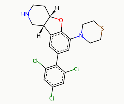 Clc1cc(Cl)c(-c2cc3c(c(N4CCSCC4)c2)O[C@H]2CCNC[C@@H]32)c(Cl)c1